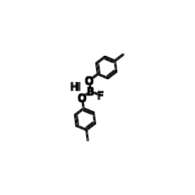 Cc1ccc(OB(F)Oc2ccc(C)cc2)cc1.I